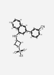 CCS(=O)(=O)N1CC(Nc2cc(-c3cccc(C#N)c3)cc3ccncc23)C1